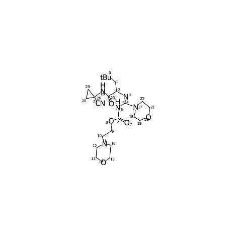 CC(C)(C)CC(/N=C(\NC(=O)OCCN1CCOCC1)N1CCOCC1)C(=O)NC1(C#N)CC1